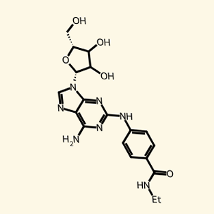 CCNC(=O)c1ccc(Nc2nc(N)c3ncn([C@@H]4O[C@H](CO)C(O)C4O)c3n2)cc1